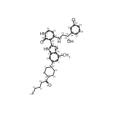 Cc1cc(N2CCN(C(=O)CCCF)CC2)cc2[nH]c(-c3c(NC[C@@H](O)c4cccc(Cl)c4)cc[nH]c3=O)nc12